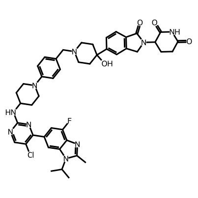 Cc1nc2c(F)cc(-c3nc(NC4CCN(c5ccc(CN6CCC(O)(c7ccc8c(c7)CN(C7CCC(=O)NC7=O)C8=O)CC6)cc5)CC4)ncc3Cl)cc2n1C(C)C